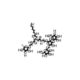 CC(=O)CCCCCNC(=O)CN(CC(=O)NCCO[C@@H]1O[C@@H](C)[C@@H](O)[C@@H](O)[C@@H]1O)CC(=O)NCCO[C@H]1O[C@H](CO[C@H]2O[C@H](CO)[C@@H](O)[C@H](O)[C@@H]2O)[C@@H](O)[C@H](O[C@H]2O[C@H](CO)[C@@H](O)[C@H](O)[C@@H]2O)[C@@H]1O